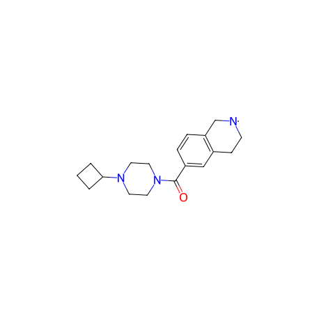 O=C(c1ccc2c(c1)CC[N]C2)N1CCN(C2CCC2)CC1